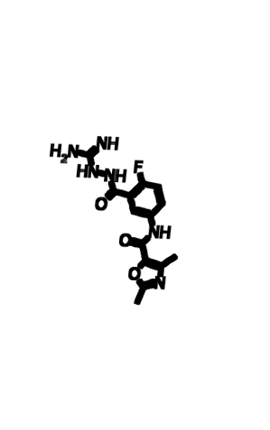 Cc1nc(C)c(C(=O)Nc2ccc(F)c(C(=O)NNC(=N)N)c2)o1